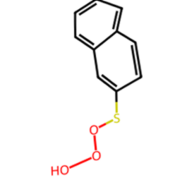 OOOSc1ccc2ccccc2c1